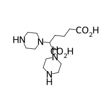 C1CNCCN1.O=C(O)CCCC(C(=O)O)N1CCNCC1